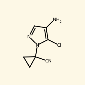 N#CC1(n2ncc(N)c2Cl)CC1